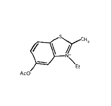 CC[n+]1c(C)sc2ccc(OC(C)=O)cc21